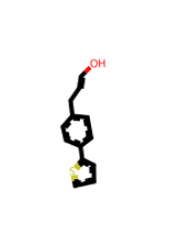 O/C=C/Cc1ccc(-c2cccs2)cc1